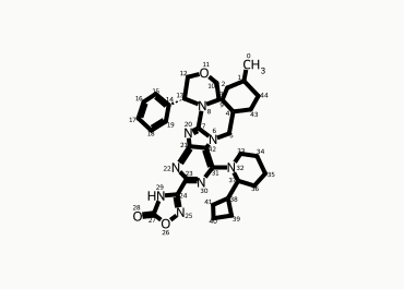 CC1CCC(Cn2c(N3CCOC[C@H]3c3ccccc3)nc3nc(-c4noc(=O)[nH]4)nc(N4CCCCC4C4CCC4)c32)CC1